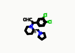 O=CC(c1ccc(Cl)c(Cl)c1)N1CCCC[C@H]1CN1CCCC1